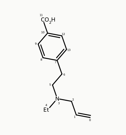 C=CCN(CC)CCc1ccc(C(=O)O)cc1